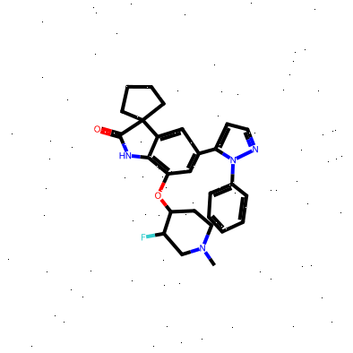 CN1CCC(Oc2cc(-c3ccnn3-c3ccccc3)cc3c2NC(=O)C32CCCC2)C(F)C1